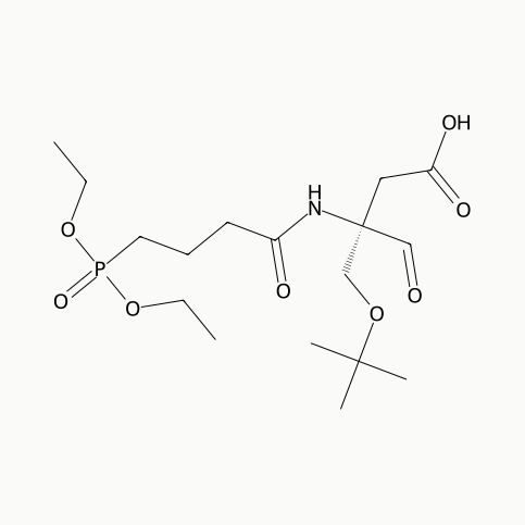 CCOP(=O)(CCCC(=O)N[C@@](C=O)(COC(C)(C)C)CC(=O)O)OCC